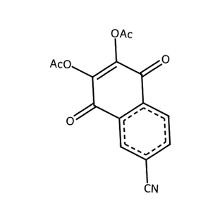 CC(=O)OC1=C(OC(C)=O)C(=O)c2cc(C#N)ccc2C1=O